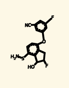 N#Cc1cc(F)cc(Oc2ccc(SN)c3c2CC(F)C3O)c1